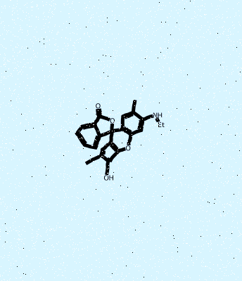 CCNc1cc2c(cc1C)C1(OC(=O)c3ccccc31)c1cc(C)c(O)cc1O2